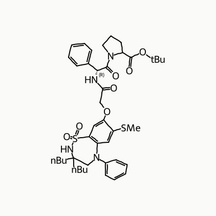 CCCCC1(CCCC)CN(c2ccccc2)c2cc(SC)c(OCC(=O)N[C@@H](C(=O)N3CCCC3C(=O)OC(C)(C)C)c3ccccc3)cc2S(=O)(=O)N1